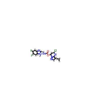 Cn1c(CNC(=O)Oc2cc(Cl)nc3c(C4CC4)cnn23)nc2cc(F)c(F)cc21